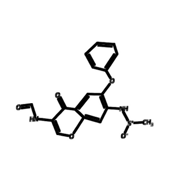 C[S+]([O-])Nc1cc2occ(NC=O)c(=O)c2cc1Oc1ccccc1